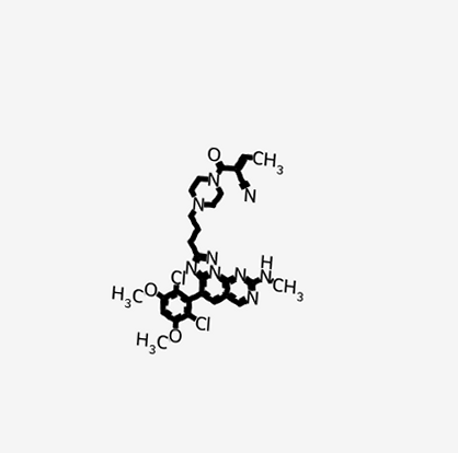 C/C=C(\C#N)C(=O)N1CCN(CCCc2nc3c(-c4c(Cl)c(OC)cc(OC)c4Cl)cc4cnc(NC)nc4n3n2)CC1